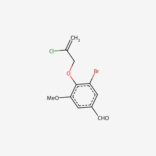 C=C(Cl)COc1c(Br)cc(C=O)cc1OC